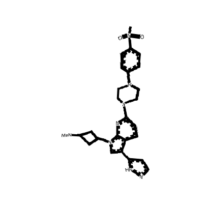 CNC1CC(n2cc(-c3ccn[nH]3)c3ccc(N4CCN(c5ccc(S(C)(=O)=O)cc5)CC4)nc32)C1